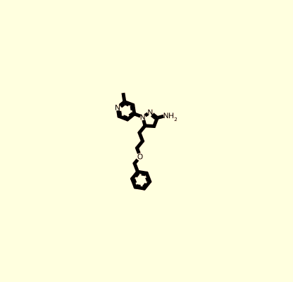 Cc1cc(N2N=C(N)CC2CCCOCc2ccccc2)ccn1